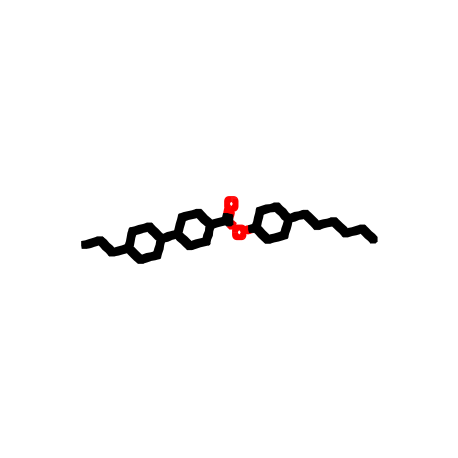 CCCCCCC1CCC(OC(=O)C2CCC(C3CCC(CCC)CC3)CC2)CC1